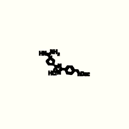 CCCCCCCCCCCc1ccc(-c2noc([C@@H]3CCN(C(=N)N)C3)n2)cc1.Cl